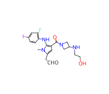 Cn1c(CC=O)cc(C(=O)N2CC(NCCO)C2)c1Nc1ccc(I)cc1F